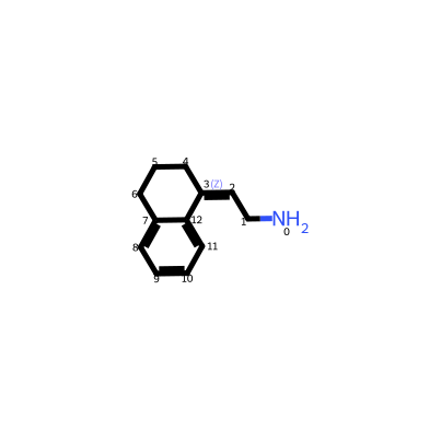 NC/C=C1/CCCc2ccccc21